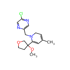 COC1(C2=CC(C)=CCN2Cc2cnc(Cl)cn2)CCOC1